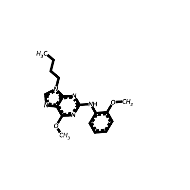 CCCCn1cnc2c(OC)nc(Nc3ccccc3OC)nc21